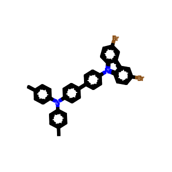 Cc1ccc(N(c2ccc(C)cc2)c2ccc(-c3ccc(-n4c5ccc(Br)cc5c5cc(Br)ccc54)cc3)cc2)cc1